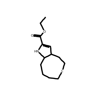 CCOC(=O)C1=CC2CCCCCCCC2N1